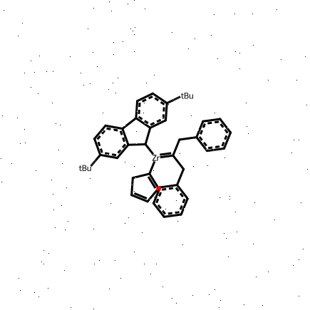 CC(C)(C)c1ccc2c(c1)[CH]([Zr]([C]1=CC=CC1)=[C](Cc1ccccc1)Cc1ccccc1)c1cc(C(C)(C)C)ccc1-2